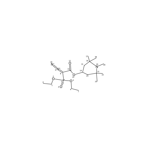 CCOP(=O)(OCC)C(=[N+]=[N-])C(=O)OC1CC(C)(C)N(C)C(C)(C)C1